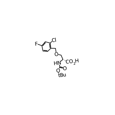 CC(C)(C)OC(=O)N[C@H](COCc1ccc(F)cc1Cl)C(=O)O